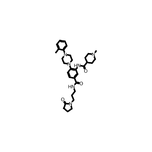 Cc1ccccc1N1CCN(c2ccc(C(=O)NCCCN3CCCC3=O)cc2NC(=O)C2CCN(C)CC2)CC1